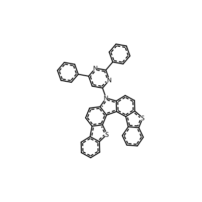 c1ccc(-c2cc(-n3c4ccc5c6ccccc6sc5c4c4c5c(ccc43)sc3ccccc35)nc(-c3ccccc3)n2)cc1